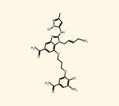 CCn1nc(C)cc1Nc1nc2cc(C(N)=O)cc(OCCCOc3cc(C(N)=O)cc([N+](=O)[O-])c3Cl)c2n1C/C=C/CN